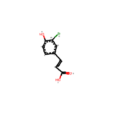 O=C(O)/C=C/c1ccc(O)c(Br)c1